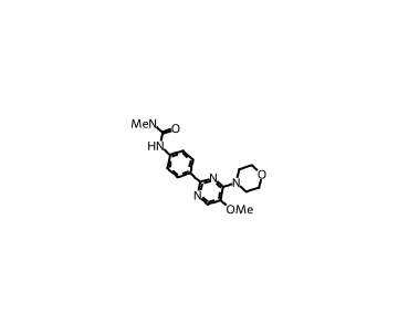 CNC(=O)Nc1ccc(-c2ncc(OC)c(N3CCOCC3)n2)cc1